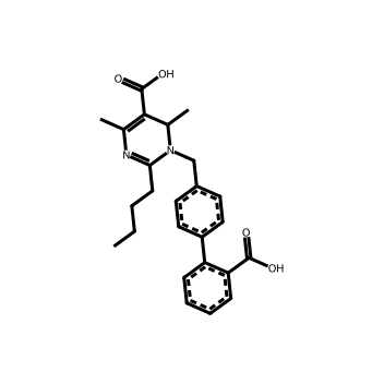 CCCCC1=NC(C)=C(C(=O)O)C(C)N1Cc1ccc(-c2ccccc2C(=O)O)cc1